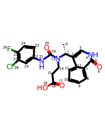 C[C@H](c1c[nH]c(=O)c2ccccc12)N(CCC(=O)O)C(=O)Nc1ccc(F)c(Cl)c1